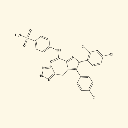 NS(=O)(=O)c1ccc(NC(=O)c2nn(-c3ccc(Cl)cc3Cl)c(-c3ccc(Cl)cc3)c2Cc2nn[nH]n2)cc1